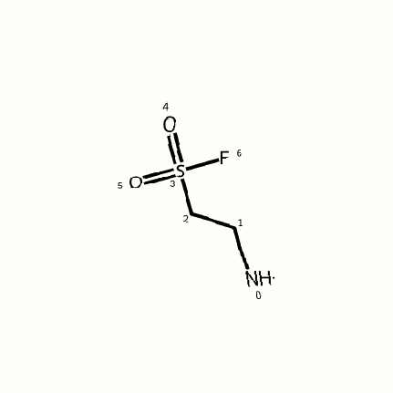 [NH]CCS(=O)(=O)F